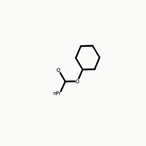 CCCC([O])OC1CCCCC1